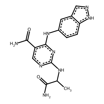 CC(Nc1ncc(C(N)=O)c(Nc2ccc3[nH]ncc3c2)n1)C(N)=O